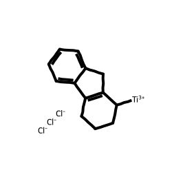 [Cl-].[Cl-].[Cl-].[Ti+3][CH]1CCCC2=C1Cc1ccccc12